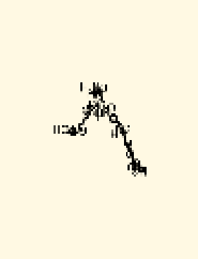 CC(C)[C@H](NC(=O)CCCCC(=O)N1CC[C@H](O)C1)C(=O)N[C@@H](CCCNC(N)=O)C(=O)Nc1ccc(COC(=O)NCCOCCOCCOP(=O)(O)C(C)(C)C)cc1